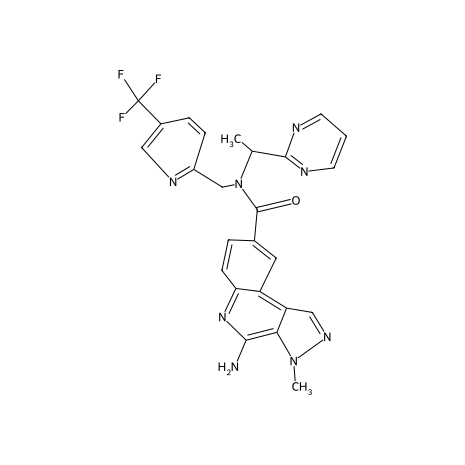 CC(c1ncccn1)N(Cc1ccc(C(F)(F)F)cn1)C(=O)c1ccc2nc(N)c3c(cnn3C)c2c1